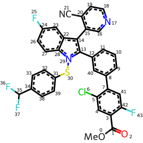 COC(=O)c1cc(Cl)c(-c2cccc(-c3c(-c4cnccc4C#N)c4cc(F)ccc4n3Sc3ccc(C(F)F)cc3)c2)cc1F